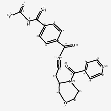 N=C(NC(=O)C(F)(F)F)c1ccc(C(=O)[N+]#CCC2COCCN2C(=O)c2ccncc2)cc1